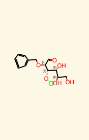 O=C[C@H](OCc1ccccc1)[C@@H](OCl)[C@H](O)[C@H](O)CO